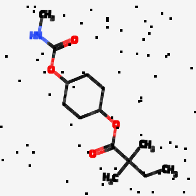 CCC(C)(C)C(=O)OC1CCC(OC(=O)NC)CC1